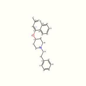 C=C(C)/C=C(/OC1CCN(CCc2ccccc2)CC1)c1ccccc1C